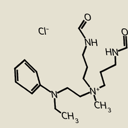 CCN(CC[N+](C)(CCCNC=O)CCCNC=O)c1ccccc1.[Cl-]